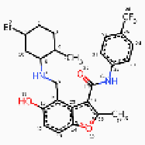 CCC1CCC(C)C(NCc2c(O)ccc3oc(C)c(C(=O)Nc4ccc(C(F)(F)F)cc4)c23)C1